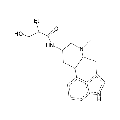 CCC(CO)C(=O)NC1CC2c3cccc4[nH]cc(c34)CC2N(C)C1